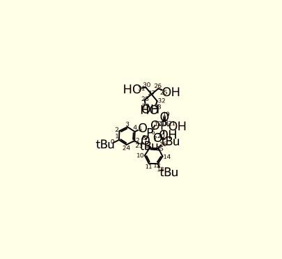 CC(C)(C)c1ccc(OP(=O)(Oc2ccc(C(C)(C)C)cc2C(C)(C)C)OP(=O)(O)O)c(C(C)(C)C)c1.OCC(CO)(CO)CO